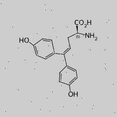 N[C@@H](CC=C(c1ccc(O)cc1)c1ccc(O)cc1)C(=O)O